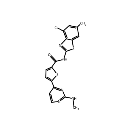 CNc1nccc(-c2ccc(C(=O)Nc3nc4c(Cl)cc(C)cc4s3)s2)n1